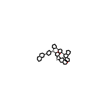 c1ccc(N(c2ccc(-c3ccc4ccccc4c3)cc2)c2ccc3c(c2)sc2cc4ccccc4cc23)c(-c2ccc(-c3cc4ccccc4c4ccccc34)cc2)c1